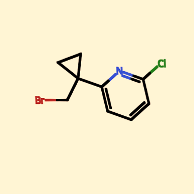 Clc1cccc(C2(CBr)CC2)n1